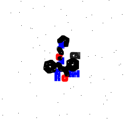 N#Cc1ccc2c(c1)/C(=C1/Nc3ccccc3/C1=N\OCCN1CCCC1)C(=O)N2